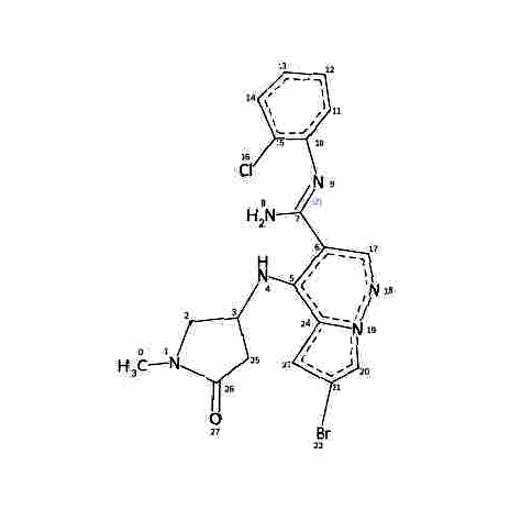 CN1CC(Nc2c(/C(N)=N/c3ccccc3Cl)cnn3cc(Br)cc23)CC1=O